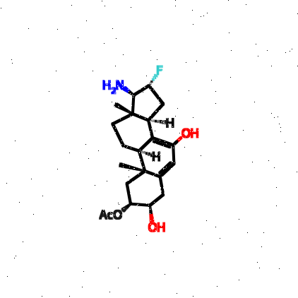 CC(=O)O[C@H]1C[C@@]2(C)C(=CC(O)=C3[C@@H]4C[C@@H](F)[C@H](N)[C@@]4(C)CC[C@@H]32)C[C@H]1O